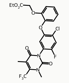 CCOC(=O)COc1ccccc1Oc1cc(-n2c(=O)c(C)c(C(F)(F)F)n(C)c2=O)c(F)cc1Cl